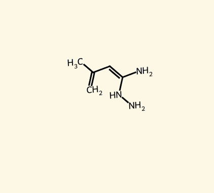 C=C(C)/C=C(/N)NN